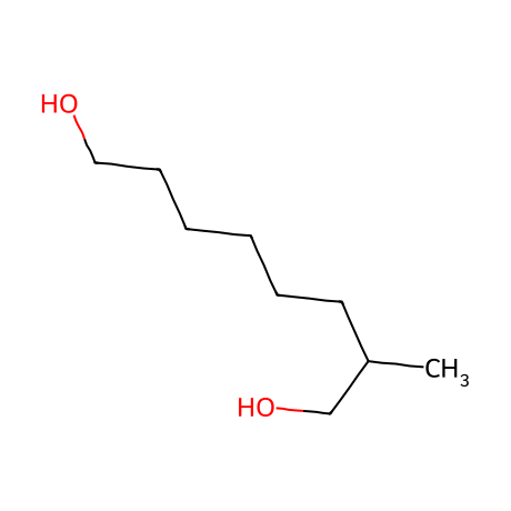 CC(CO)CCCCCCO